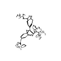 CCC1=NN=C2CC=C(c3nc4ccc(C(=O)OC)cc4nc3N(C)C(C)C)C=C12